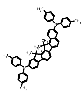 Cc1ccc(N(c2ccc(C)cc2)c2ccc3c(c2)C(C)(C)c2c-3ccc3c2C(C)(C)c2c-3ccc3cc(N(c4ccc(C)cc4)c4ccc(C)cc4)ccc23)cc1